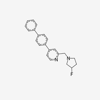 FC1CCN(Cc2cc(-c3ccc(-c4ccccc4)cc3)ccn2)C1